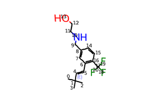 CC(C)(C)/C=C/c1cc(CNCCO)ccc1C(F)(F)F